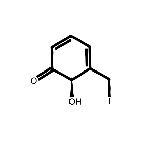 O=C1C=CC=C(CI)[C@H]1O